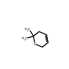 CC1(C)C[C]=CCO1